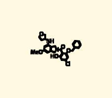 COc1cc2c(c(N[C@H]3CCOC3)c1)CN(C(=O)c1c(O)cc(Cl)cc1OCc1ccccc1)C2